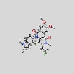 COc1cc2c(C(=O)N3CCC(F)CC3)c(C)n(-c3ccc4c(cc(C)n4C)c3F)c(=O)c2cc1OC